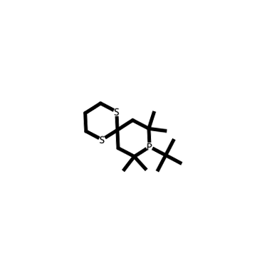 CC(C)(C)P1C(C)(C)CC2(CC1(C)C)SCCCS2